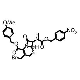 COc1ccc(COC(=O)C2=C(CBr)CS[C@H]3C(NC(=O)OCc4ccc([N+](=O)[O-])cc4)C(=O)N23)cc1